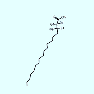 [2H]C([2H])(CCCCCCCCCCCCCCC)C([2H])([2H])C(=O)O